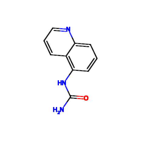 NC(=O)Nc1cccc2ncccc12